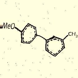 [CH2]c1cccc(-c2ccc(OC)cc2)c1